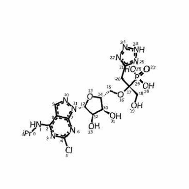 CC(C)Nc1nc(Cl)nc2c1cnn2[C@@H]1O[C@H](CO[C@](CO)(Cc2nn[nH]n2)P(=O)(O)O)[C@@H](O)[C@H]1O